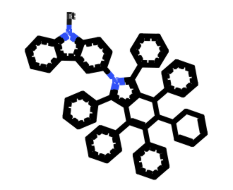 CCn1c2ccccc2c2cc(-n3c(-c4ccccc4)c4c(c3-c3ccccc3)C(c3ccccc3)C(C3C=CC=CC3)C(c3ccccc3)=C4c3ccccc3)ccc21